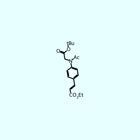 CCOC(=O)C=Cc1ccc(N(CC(=O)OC(C)(C)C)C(C)=O)cc1